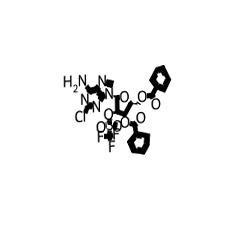 Nc1nc(Cl)nc2c1ncn2[C@@H]1O[C@H](COC(=O)c2ccccc2)[C@@H](OC(=O)c2ccccc2)[C@H]1OS(=O)(=O)C(F)(F)F